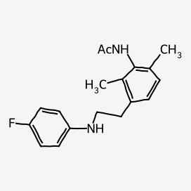 CC(=O)Nc1c(C)ccc(CCNc2ccc(F)cc2)c1C